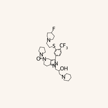 O=C(N1CCCC1)N1CCc2c(c(-c3ccc(C(F)(F)F)c(SCCN4CCC(F)CC4)c3)nn2C[C@@H](O)CN2CCCCC2)C1